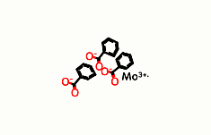 O=C([O-])c1ccccc1.O=C([O-])c1ccccc1.O=C([O-])c1ccccc1.[Mo+3]